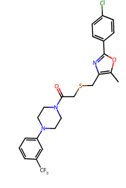 Cc1oc(-c2ccc(Cl)cc2)nc1CSCC(=O)N1CCN(c2cccc(C(F)(F)F)c2)CC1